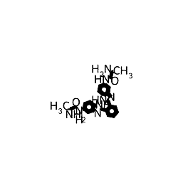 CC(N)C(=O)Nc1ccc2[nH]c(-c3ccccc3-c3nc4cc(NC(=O)C(C)N)ccc4[nH]3)nc2c1